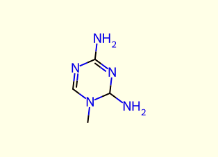 CN1C=NC(N)=NC1N